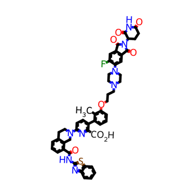 Cc1c(OCCCN2CCN(c3cc4c(cc3F)C(=O)N(C3CCC(=O)NC3=O)C4=O)CC2)cccc1-c1ccc(N2CCc3cccc(C(=O)Nc4nc5ccccc5s4)c3C2)nc1C(=O)O